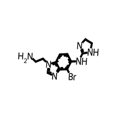 NCCn1cnc2c(Br)c(NC3=NCCN3)ccc21